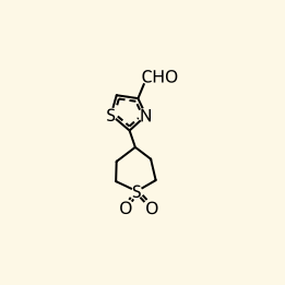 O=Cc1csc(C2CCS(=O)(=O)CC2)n1